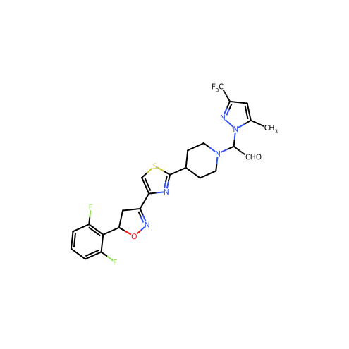 Cc1cc(C(F)(F)F)nn1C(C=O)N1CCC(c2nc(C3=NOC(c4c(F)cccc4F)C3)cs2)CC1